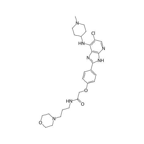 CN1CCC(Nc2c(Cl)cnc3[nH]c(-c4ccc(OCC(=O)NCCCN5CCOCC5)cc4)nc23)CC1